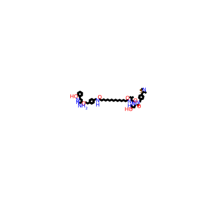 Cc1ncsc1-c1ccc(CNC(=O)[C@@H]2C[C@@H](O)CN2C(=O)[C@@H](NC(=O)CCCCCCCCCCCCCC(=O)NCc2ccc(CCOc3cc(-c4ccccc4O)nnc3N)cc2)C(C)C)cc1